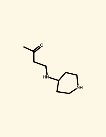 CC(=O)CCNC1CCNCC1